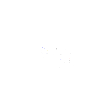 Cc1nsc(N[C@@H](CC(C)C)C(=O)N2CCC[C@H]2C(=O)O)n1